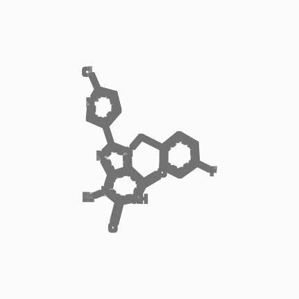 CCn1c(=O)[nH]c(=O)c2c1nc(-c1ccc(Cl)nc1)n2Cc1ccc(F)cc1